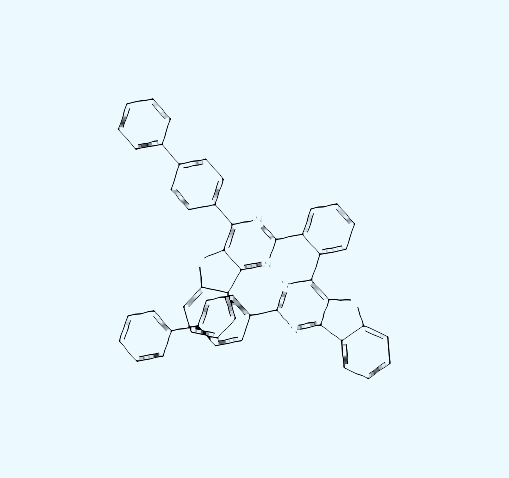 c1ccc(-c2ccc(-c3nc(-c4ccccc4-c4nc(-c5ccc(-c6ccccc6)cc5)c5sc6ccccc6c5n4)c4sc5ccccc5c4n3)cc2)cc1